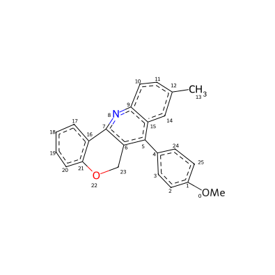 COc1ccc(-c2c3c(nc4ccc(C)cc24)-c2ccccc2OC3)cc1